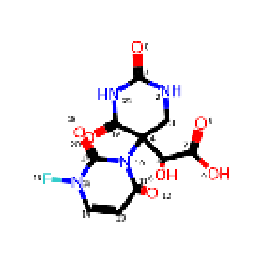 O=C1NCC(C(O)C(=O)O)(n2c(=O)ccn(F)c2=O)C(=O)N1